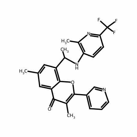 Cc1cc(C(C)Nc2ccc(C(F)(F)F)nc2C)c2oc(-c3cccnc3)c(C)c(=O)c2c1